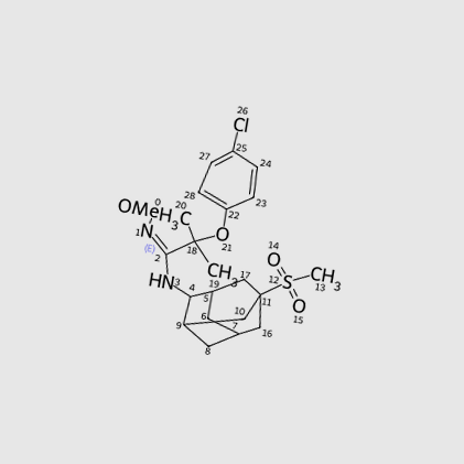 CO/N=C(/NC1C2CC3CC1CC(S(C)(=O)=O)(C3)C2)C(C)(C)Oc1ccc(Cl)cc1